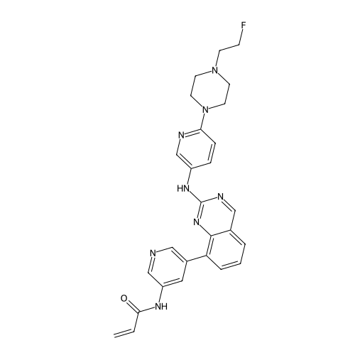 C=CC(=O)Nc1cncc(-c2cccc3cnc(Nc4ccc(N5CCN(CCF)CC5)nc4)nc23)c1